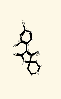 O=C1NC2(CCOCC2)C(O)=C1c1ccc(Cl)cc1Cl